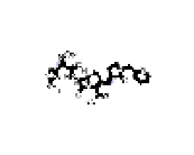 Nc1nc(/C(=N/O)C(=O)N[C@@H]2C(=O)N3C(C(=O)O)=C(/C=C4\CCN(Cc5ccccn5)C4=O)CS[C@H]23)cs1